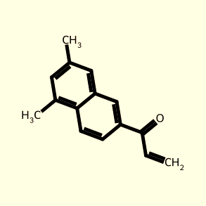 C=CC(=O)c1ccc2c(C)cc(C)cc2c1